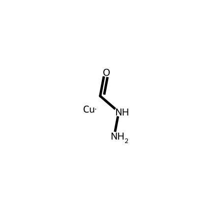 NNC=O.[Cu]